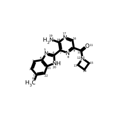 Cc1ccc2nc(-c3nc(C(=O)N4CCC4)cnc3N)[nH]c2c1